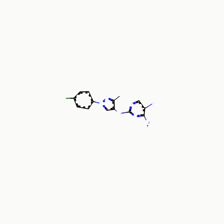 CNc1nc(Nc2cn(-c3ccc(F)cc3)nc2C)ncc1N